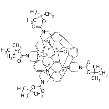 CC(C)(C)OC(=O)N1CCN([C@@]23C4=C5[C@@]6(N7CCN(C(=O)OC(C)(C)C)CC7)c7c8ccc9c7C7%10O[C@@]57C5=C4[C@@]4(N7CCN(C(=O)OC(C)(C)C)CC7)c7c(ccc(c72)-c2ccc-8c6c23)-c2ccc3c(c24)[C@@]5(N2CCN(C(=O)OC(C)(C)C)CC2)c2c-3ccc-9c2%10)CC1